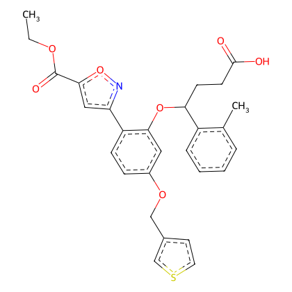 CCOC(=O)c1cc(-c2ccc(OCc3ccsc3)cc2OC(CCC(=O)O)c2ccccc2C)no1